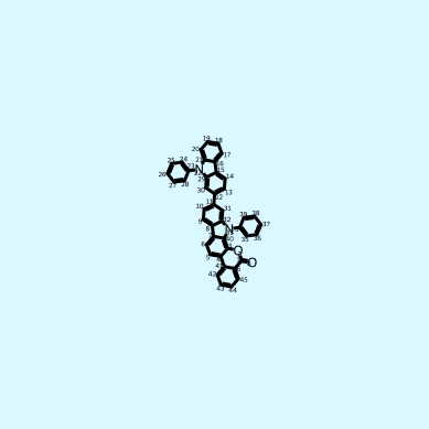 O=c1oc2c(ccc3c4ccc(-c5ccc6c7ccccc7n(-c7ccccc7)c6c5)cc4n(-c4ccccc4)c32)c2ccccc12